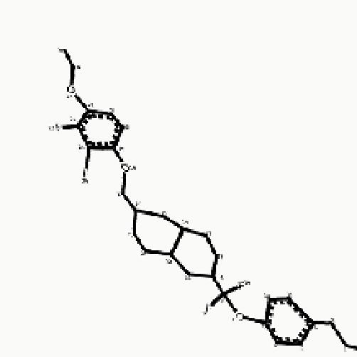 CCCc1ccc(OC(F)(F)C2CCC3CC(COc4ccc(OCC)c(F)c4F)CCC3C2)cc1